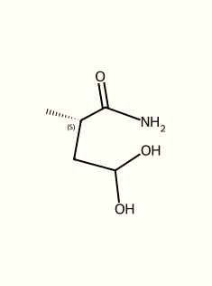 C[C@@H](CC(O)O)C(N)=O